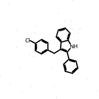 Clc1ccc(Cc2c(-c3ccccc3)[nH]c3ccccc23)cc1